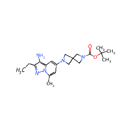 CCc1nn2c(C)cc(N3CC4(CN(C(=O)OC(C)(C)C)C4)C3)cc2c1N